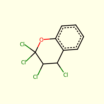 ClC1c2ccccc2OC(Cl)(Cl)C1Cl